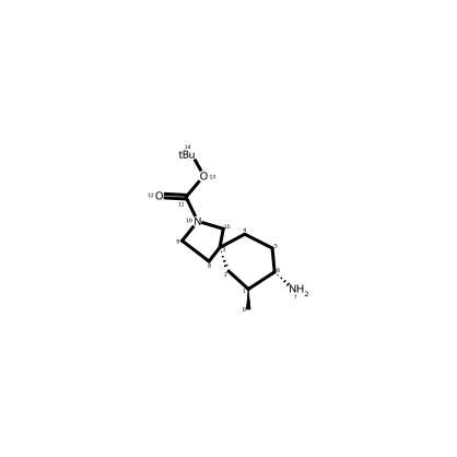 C[C@H]1C[C@]2(CC[C@@H]1N)CCN(C(=O)OC(C)(C)C)C2